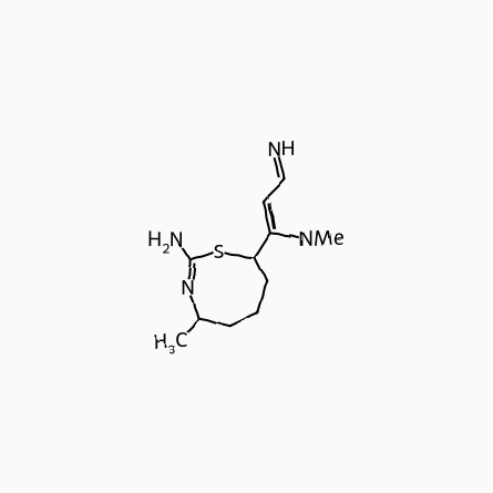 CN/C(=C\C=N)C1CCCC(C)/N=C(/N)S1